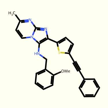 COc1ccccc1CNc1c(-c2ccc(C#Cc3ccccc3)s2)nc2nc(C)ccn12